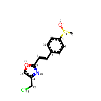 C[S+]([O-])c1ccc(/C=C/c2nc(CCl)co2)cc1